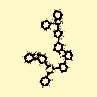 c1ccc(-c2nc(-c3cccc(-c4cccc5c4sc4ccc(-c6ccc(-c7nc8ccccc8n7-c7ccccc7)cc6)cc45)c3)nc(-c3ccc4sc5ccccc5c4c3)n2)cc1